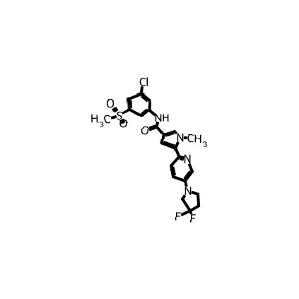 Cn1cc(C(=O)Nc2cc(Cl)cc(S(C)(=O)=O)c2)cc1-c1ccc(N2CCC(F)(F)C2)cn1